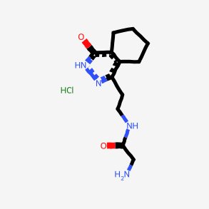 Cl.NCC(=O)NCCc1n[nH]c(=O)c2c1CCCC2